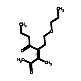 CCCOCC/C(C(=O)CCC)=C(\C)C(C)=O